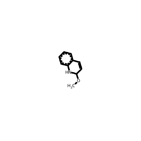 COC1C=Cc2ccccc2N1